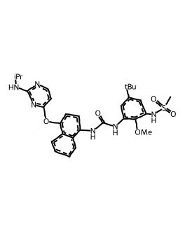 COc1c(NC(=O)Nc2ccc(Oc3ccnc(NC(C)C)n3)c3ccccc23)cc(C(C)(C)C)cc1NS(C)(=O)=O